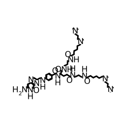 CN(C)CCCN(C)CCCCCC(=O)NCCCNC(=O)CCC(NC(=O)c1ccc(NCc2cnc3cc(N)[nH]c(=O)c3n2)cc1)C(=O)NCCCNC(=O)CCCCCN(C)CCCN(C)C